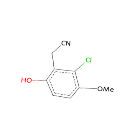 COc1ccc(O)c(CC#N)c1Cl